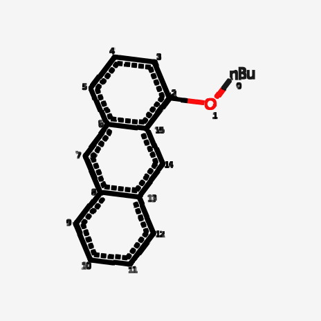 [CH2]CCCOc1cccc2cc3ccccc3cc12